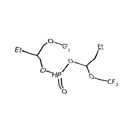 CCC(O[PH](=O)OC(CC)OC(F)(F)F)OC(F)(F)F